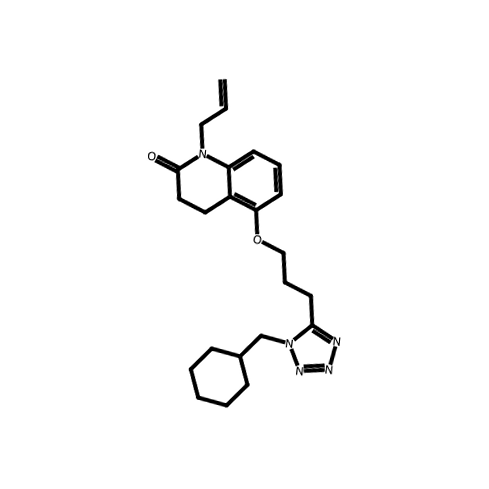 C=CCN1C(=O)CCc2c(OCCCc3nnnn3CC3CCCCC3)cccc21